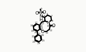 CS(=O)(=O)NC1CCCN2C(=O)CCOc3c(cccc3-c3ccccc3)CC12